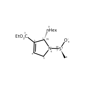 CCCCCC[C@H]1C(C(=O)OCC)=CCN1[S@+](C)[O-]